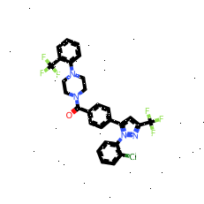 O=C(c1ccc(-c2cc(C(F)(F)F)nn2-c2ccccc2Cl)cc1)N1CCN(c2ccccc2C(F)(F)F)CC1